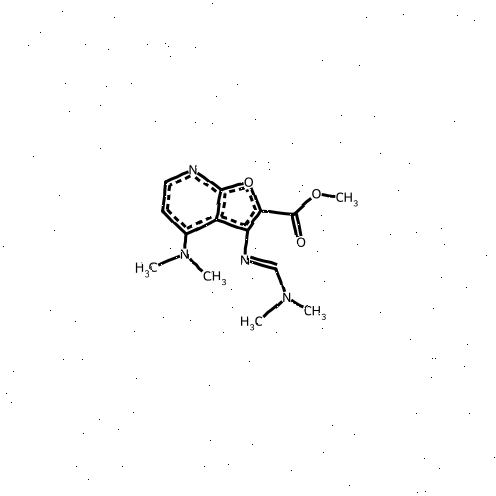 COC(=O)c1oc2nccc(N(C)C)c2c1N=CN(C)C